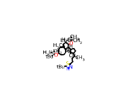 CC[C@H]1C(O[Si](C)(C)C)[C@H]2[C@@H]3CCC([C@H](C)CCc4nnc(C(C)(C)C)s4)C3(C)CC[C@@]23C2CCC(O[Si](C)(C)C(C)(C)C)CCC3(C)C21